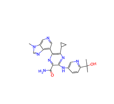 Cn1cnc2c(-c3nc(C(N)=O)c(Nc4ccc(C(C)(C)O)nc4)nc3C3CC3)cncc21